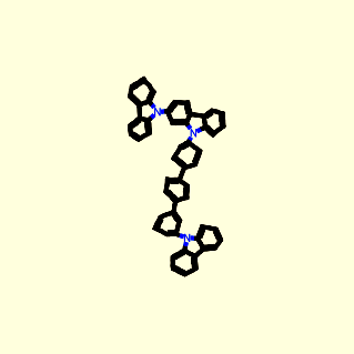 c1cc(-c2ccc(-c3ccc(-n4c5ccccc5c5ccc(-n6c7ccccc7c7ccccc76)cc54)cc3)cc2)cc(-n2c3ccccc3c3ccccc32)c1